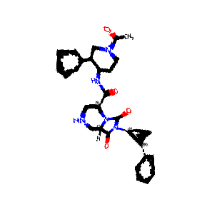 CC(=O)N1CCC(NC(=O)[C@@H]2CNC[C@H]3C(=O)N([C@H]4C[C@@H]4c4ccccc4)C(=O)N23)C(c2ccccc2)C1